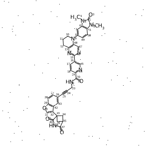 Cn1c(=O)n(C)c2cc(N3CCCc4nc(-c5ccc(C(=O)NCC#Cc6ccc7occ(C89CC(C8)C(=O)NC9=O)c7c6)nc5)ncc43)ccc21